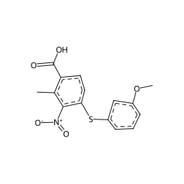 COc1cccc(Sc2ccc(C(=O)O)c(C)c2[N+](=O)[O-])c1